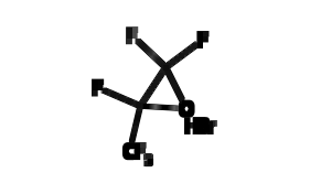 Br.FC(F)(F)C1(F)OC1(F)F